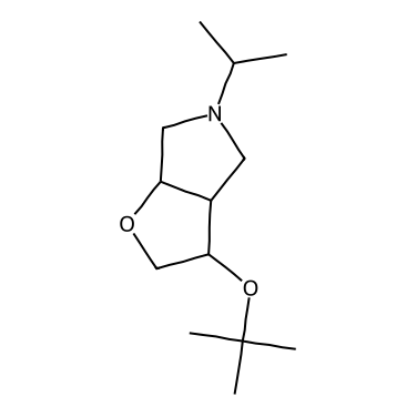 CC(C)N1CC2OCC(OC(C)(C)C)C2C1